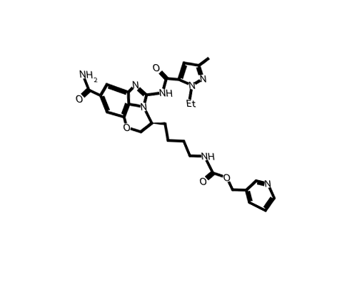 CCn1nc(C)cc1C(=O)Nc1nc2cc(C(N)=O)cc3c2n1[C@@H](CCCCNC(=O)OCc1cccnc1)CO3